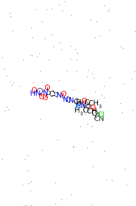 CC1(C)[C@H](NC(=O)c2ccc(N3CCN(CC(=O)N4Cc5cc6c(cc5C4)C(=O)N(C4CCC(=O)NC4=O)C6=O)CC3)cc2F)C(C)(C)[C@H]1Oc1ccc(C#N)c(Cl)c1